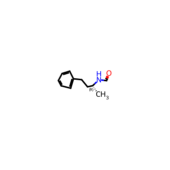 C[C@H](CCc1ccccc1)NC=O